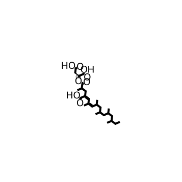 CCC(C)CC(C)CC(C)CC(C)C=C(C)C=C(CC(C)C(=O)O[C@@H](CC(=O)O)C(=O)O)C(=O)O